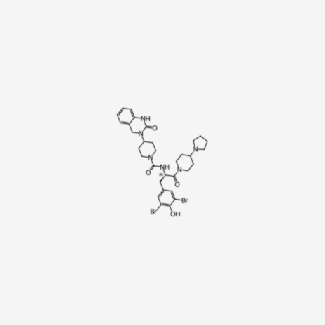 O=C(N[C@H](Cc1cc(Br)c(O)c(Br)c1)C(=O)N1CCC(N2CCCC2)CC1)N1CCC(N2Cc3ccccc3NC2=O)CC1